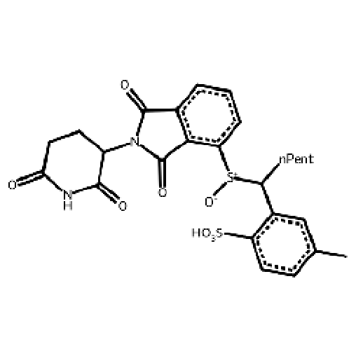 CCCCCC(c1cc(C)ccc1S(=O)(=O)O)[S+]([O-])c1cccc2c1C(=O)N(C1CCC(=O)NC1=O)C2=O